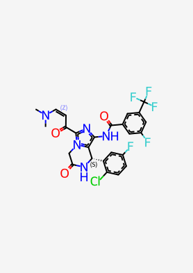 CN(C)/C=C\C(=O)c1nc(NC(=O)c2cc(F)cc(C(F)(F)F)c2)c2n1CC(=O)N[C@H]2c1cc(F)ccc1Cl